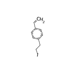 C=Cc1ccc(CCI)cc1